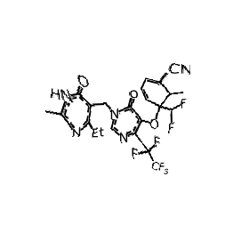 CCc1nc(C)[nH]c(=O)c1Cn1cnc(C(F)(F)C(F)(F)F)c(OC2(C(F)F)C=CC=C(C#N)C2C)c1=O